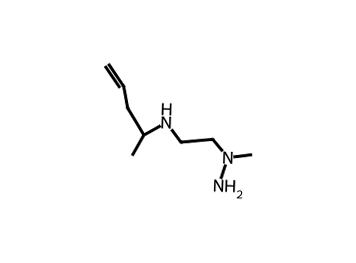 C=CCC(C)NCCN(C)N